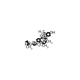 COc1cc(O)ccc1S(=O)(=O)NC(=O)c1ccc(-n2ccc(OCC3(C(C)(F)F)CC3)n2)nc1N1C[C@@H](C)CC1(C)C